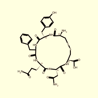 NC(=O)CC[C@@H]1NC(=O)C(Cc2ccccc2)NC(=O)[C@H](Cc2ccc(O)cc2)NC(=O)[C@@H](N)CSSC[C@@H](C(=O)O)NC(=O)[C@H](CC(N)=O)NC1=O